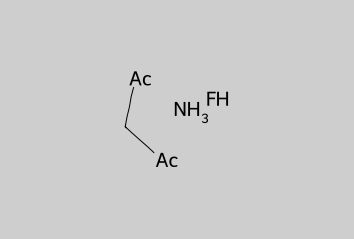 CC(=O)CC(C)=O.F.N